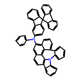 c1ccc(N(c2ccc3c(c2)-c2ccccc2C32c3ccccc3-c3ccccc32)c2cc3ccc4c5ccccc5n5c6ccccc6c6cccc2c6c3c45)cc1